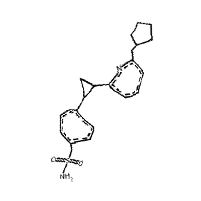 NS(=O)(=O)c1ccc(C2CC2c2cccc(C3CCCC3)n2)cc1